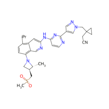 CC(C)c1ccc(N2C[C@H](CS(C)(=O)=O)[C@H]2C)c2cnc(Nc3ccnc(-c4cnn(CC5(CC#N)CC5)c4)n3)cc12